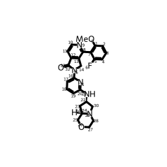 COc1cccc(F)c1-c1nccc2c1CN(c1cccc(N[C@@H]3C[C@H]4COCCN4C3)n1)C2=O